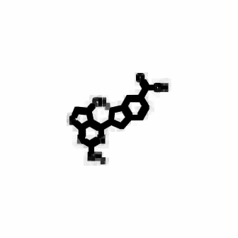 Cc1csc2nc(N)nc(C3Cc4ccc(C(=O)O)cc4C3)c12